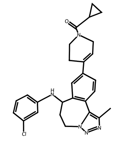 Cc1nnn2c1-c1ccc(C3=CCN(C(=O)C4CC4)CC3)cc1C(Nc1cccc(Cl)c1)CC2